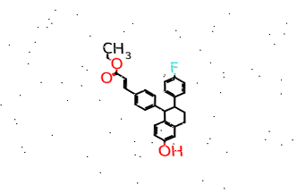 CCOC(=O)C=Cc1ccc(C2c3ccc(O)cc3CCC2c2ccc(F)cc2)cc1